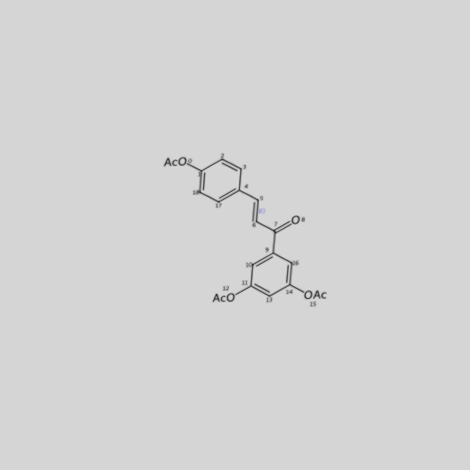 CC(=O)Oc1ccc(/C=C/C(=O)c2cc(OC(C)=O)cc(OC(C)=O)c2)cc1